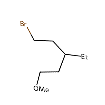 CCC(CCBr)CCOC